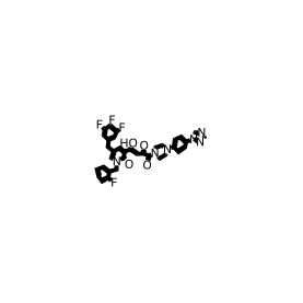 O=C(C=C(O)c1cc(Cc2cc(F)c(F)c(F)c2)cn(Cc2ccccc2F)c1=O)C(=O)N1CCN(c2ccc(-n3cncn3)cc2)CC1